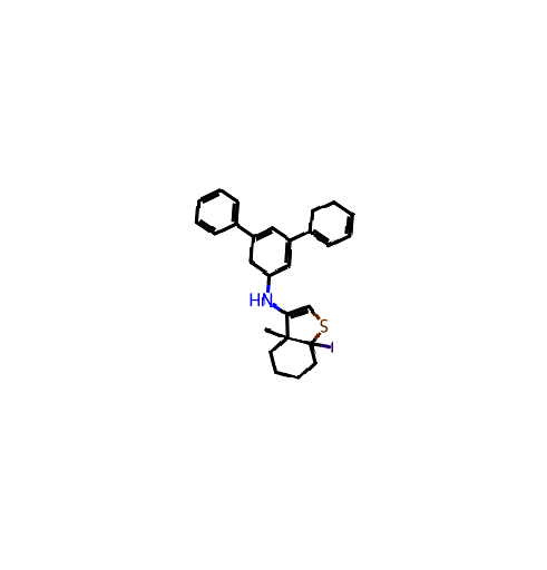 CC12CCCCC1(I)SC=C2NC1C=C(C2=CC=CCC2)C=C(c2ccccc2)C1